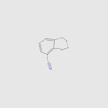 N#Cc1cccc2c1CC[CH]C2